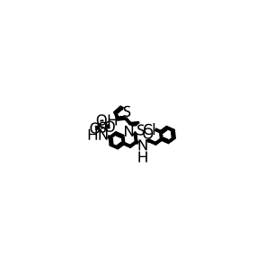 O=C(Cc1ccccc1Cl)NC(Cc1ccc(NS(=O)(=O)O)cc1)c1nc(-c2cccs2)cs1